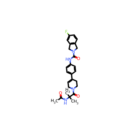 CC(=O)NC(C)(C)C(=O)N1CC=C(c2ccc(NC(=O)N3Cc4ccc(F)cc4C3)cc2)CC1